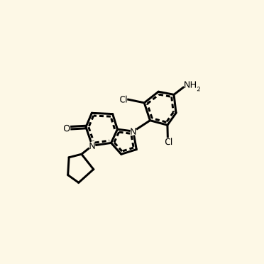 Nc1cc(Cl)c(-n2ccc3c2ccc(=O)n3C2CCCC2)c(Cl)c1